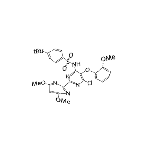 COc1cc(OC)nc(-c2nc(Cl)c(Oc3ccccc3OC)c(NS(=O)(=O)c3ccc(C(C)(C)C)cc3)n2)n1